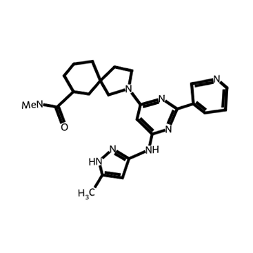 CNC(=O)C1CCCC2(CCN(c3cc(Nc4cc(C)[nH]n4)nc(-c4cccnc4)n3)C2)C1